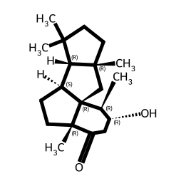 C[C@H]1[C@H](O)CC(=O)[C@]2(C)CC[C@H]3[C@@H]4C(C)(C)CC[C@]4(C)C[C@]132